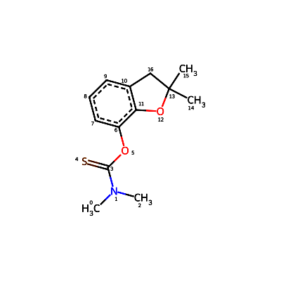 CN(C)C(=S)Oc1cccc2c1OC(C)(C)C2